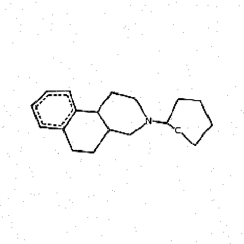 c1ccc2c(c1)CCC1CN(C3CCCCC3)CCC21